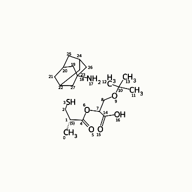 C[C@H](CS)C(=O)OC(COC(C)(C)C)C(=O)O.NC12CC3CC(CC(C3)C1)C2